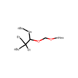 CCCCCCOCO[CH]([Sn][CH2]CCC)C(CC)(CC)CCCC